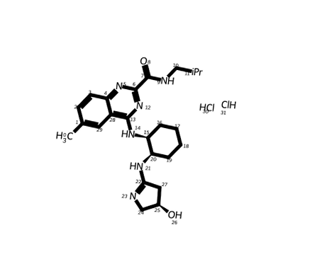 Cc1ccc2nc(C(=O)NCC(C)C)nc(N[C@H]3CCCC[C@H]3NC3=NC[C@H](O)C3)c2c1.Cl.Cl